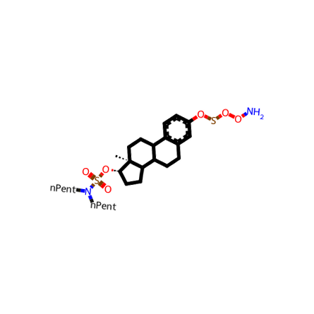 CCCCCN(CCCCC)S(=O)(=O)O[C@H]1CCC2C3CCc4cc(OSOON)ccc4C3CC[C@@]21C